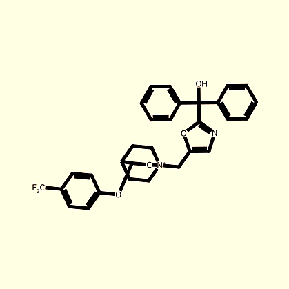 OC(c1ccccc1)(c1ccccc1)c1ncc(C[N+]23CCC(CC2)C(Oc2ccc(C(F)(F)F)cc2)C3)o1